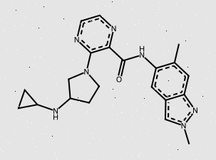 Cc1cc2nn(C)cc2cc1NC(=O)c1nccnc1N1CCC(NC2CC2)C1